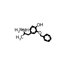 CC(Cc1ccc(O)c(OCc2ccccc2)c1)NN